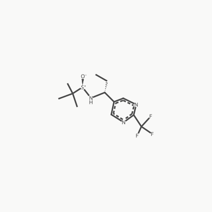 CC[C@@H](N[S@+]([O-])C(C)(C)C)c1cnc(C(F)(F)F)nc1